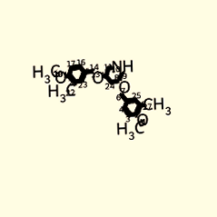 COc1ccc(COC2CNCC(OCc3ccc(OC)c(C)c3)C2)cc1C